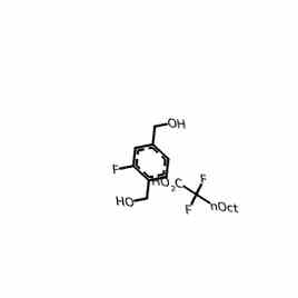 CCCCCCCCC(F)(F)C(=O)O.OCc1ccc(CO)c(F)c1